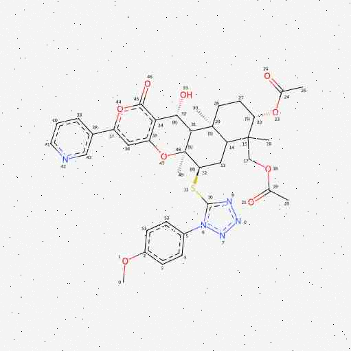 COc1ccc(-n2nnnc2S[C@@H]2CC3C(C)(COC(C)=O)[C@@H](OC(C)=O)CC[C@]3(C)C3[C@@H](O)c4c(cc(-c5cccnc5)oc4=O)O[C@@]32C)cc1